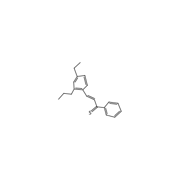 CCCc1cc(CC)ccc1C=CC(=S)c1ccccc1